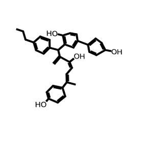 C=C(/C(O)=C\C=C(/C)c1ccc(O)cc1)C(c1ccc(CCC)cc1)c1cc(-c2ccc(O)cc2)ccc1O